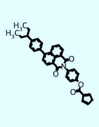 CCC(CC)c1ccc(-c2ccc3c4c(cccc24)C(=O)N(c2ccc(OC(=O)C4=CCC=C4)cc2)C3=O)cc1